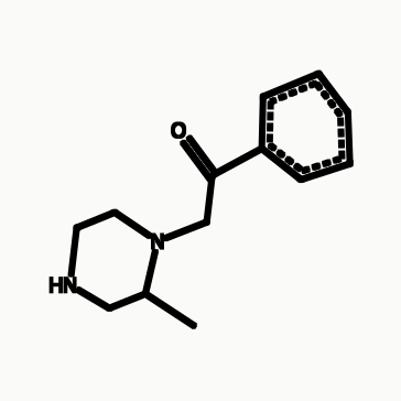 CC1CNCCN1CC(=O)c1ccccc1